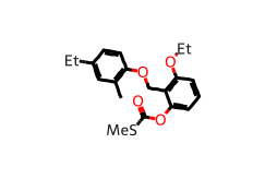 CCOc1cccc(OC(=O)SC)c1COc1ccc(CC)cc1C